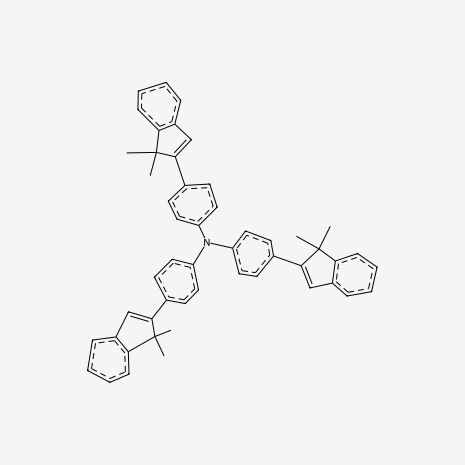 CC1(C)C(c2ccc(N(c3ccc(C4=Cc5ccccc5C4(C)C)cc3)c3ccc(C4=Cc5ccccc5C4(C)C)cc3)cc2)=Cc2ccccc21